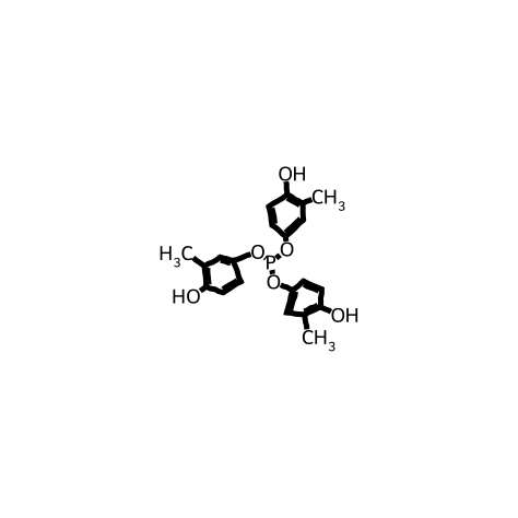 Cc1cc(OP(Oc2ccc(O)c(C)c2)Oc2ccc(O)c(C)c2)ccc1O